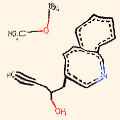 C#CC(O)c1cnc2ccccc2c1.CC(C)(C)OC(=O)O